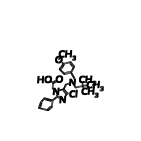 COc1ccc(CN(Cc2c(Cl)nc(-c3ccccc3)n2CC(=O)O)CC(C)(C)C)cc1